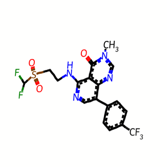 Cn1cnc2c(-c3ccc(C(F)(F)F)cc3)cnc(NCCS(=O)(=O)C(F)F)c2c1=O